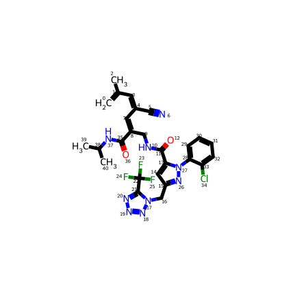 C=C(C)/C=C(C#N)\C=C(/CNC(=O)c1cc(Cn2nnnc2C(F)(F)F)nn1-c1ccccc1Cl)C(=O)NC(C)C